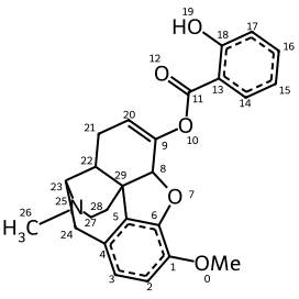 COc1ccc2c3c1OC1C(OC(=O)c4ccccc4O)=CCC4C(C2)N(C)CCC314